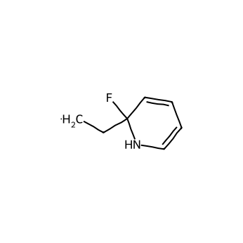 [CH2]CC1(F)C=CC=CN1